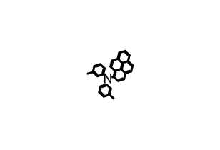 Cc1cccc(N(c2cccc(C)c2)c2ccc3ccc4cccc5ccc2c3c45)c1